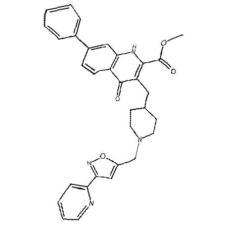 COC(=O)c1[nH]c2cc(-c3ccccc3)ccc2c(=O)c1CC1CCN(Cc2cc(-c3ccccn3)no2)CC1